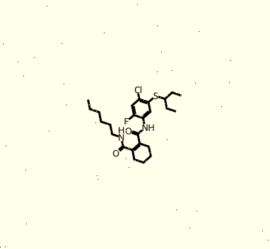 CCCCCCNC(=O)C1=C(C(=O)Nc2cc(SC(CC)CC)c(Cl)cc2F)CCCC1